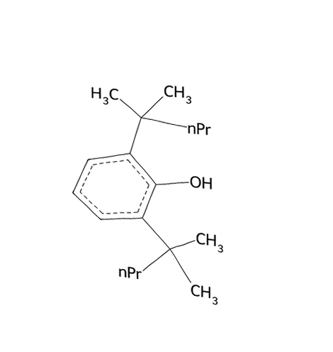 CCCC(C)(C)c1cccc(C(C)(C)CCC)c1O